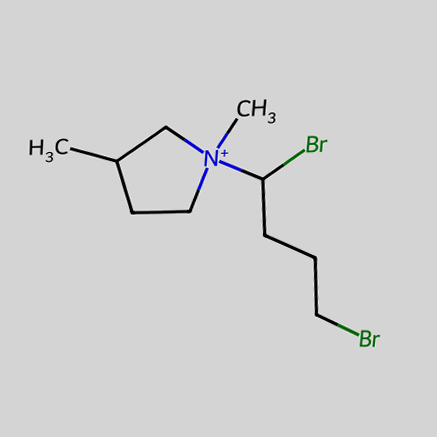 CC1CC[N+](C)(C(Br)CCCBr)C1